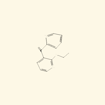 CCNc1ncccc1C(=O)c1ccccn1